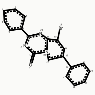 O=c1nc(-c2ccccc2)nc2c(Br)cc(-c3ccccc3)cn12